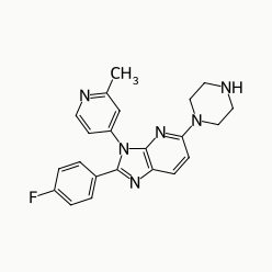 Cc1cc(-n2c(-c3ccc(F)cc3)nc3ccc(N4CCNCC4)nc32)ccn1